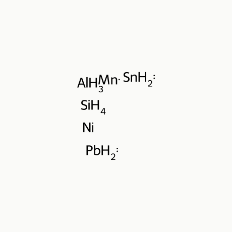 [AlH3].[Mn].[Ni].[PbH2].[SiH4].[SnH2]